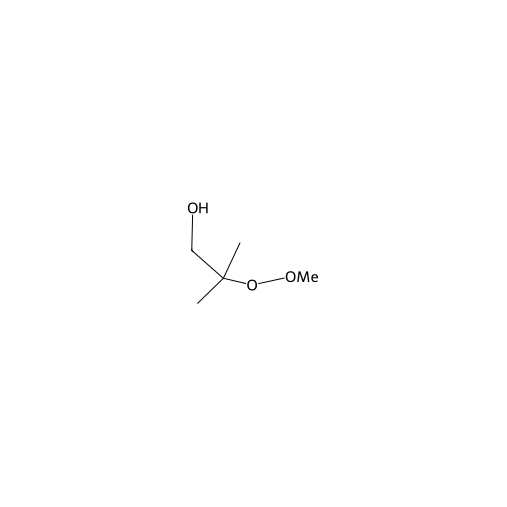 COOC(C)(C)CO